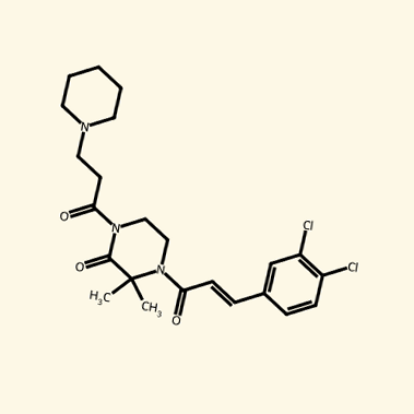 CC1(C)C(=O)N(C(=O)CCN2CCCCC2)CCN1C(=O)/C=C/c1ccc(Cl)c(Cl)c1